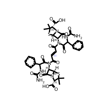 CC1(C)S[C@@H]2[C@H](N(C(=O)/C=C/C(=O)N(C(=O)C(NC(N)=O)c3ccccc3)[C@@H]3C(=O)N4[C@@H]3SC(C)(C)[C@@H]4C(=O)O)C(=O)C(NC(N)=O)c3ccccc3)C(=O)N2[C@H]1C(=O)O